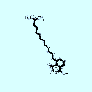 CC(C)CCCCCCCOCCCc1cccc(C(=O)O)c1C(N)=O